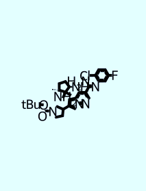 CC(C)(C)OC(=O)N1CCC(c2cc3c(N[C@@H]4CC[C@](C)(N)C4(C)C)c(/C(N)=N/c4cc(F)ccc4Cl)cnn3c2)C1